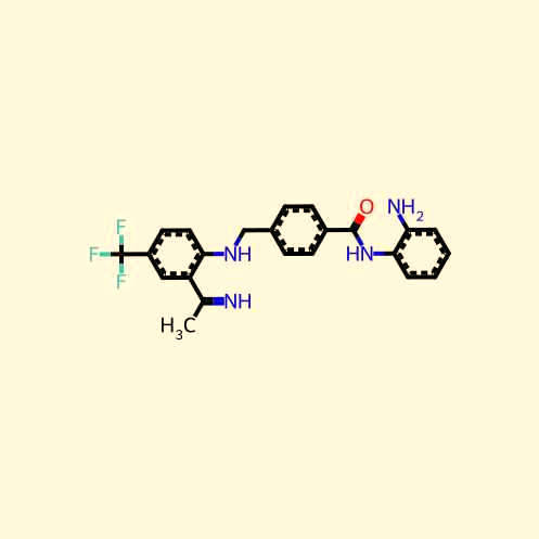 CC(=N)c1cc(C(F)(F)F)ccc1NCc1ccc(C(=O)Nc2ccccc2N)cc1